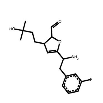 CC(C)(O)CCC1C=C(C(N)Cc2cccc(F)c2)OC1C=O